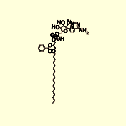 CCCCCCCCCCCCCCCCCCOC[C@H](COP(=O)(O)OC[C@H]1O[C@@](C#N)(c2ccc3c(N)ncnn23)[C@H](O)[C@@H]1O)OC(=O)c1ccccc1